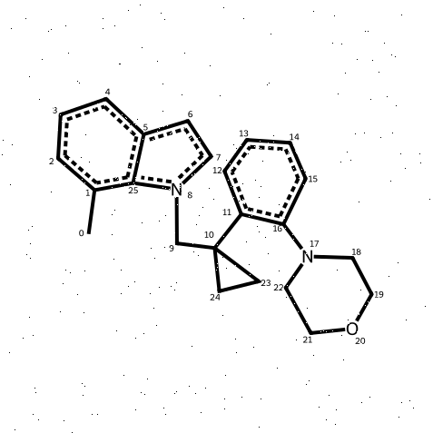 Cc1cccc2ccn(CC3(c4ccccc4N4CCOCC4)CC3)c12